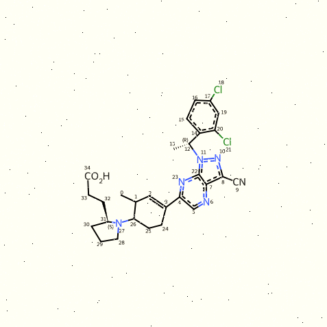 CC1C=C(c2cnc3c(C#N)nn([C@H](C)c4ccc(Cl)cc4Cl)c3n2)CCC1N1CCC[C@H]1CCC(=O)O